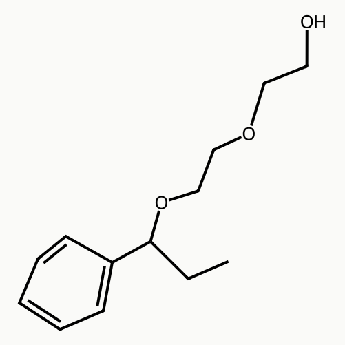 CCC(OCCOCCO)c1ccccc1